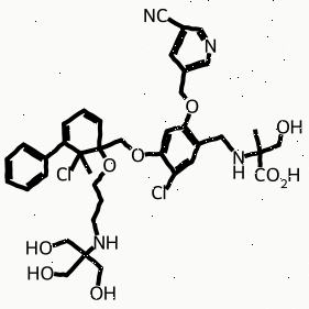 CC(CO)(NCc1cc(Cl)c(OCC2(OCCCNC(CO)(CO)CO)C=CC=C(c3ccccc3)C2(C)Cl)cc1OCc1cncc(C#N)c1)C(=O)O